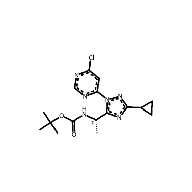 C[C@H](NC(=O)OC(C)(C)C)c1nc(C2CC2)nn1-c1cc(Cl)ncn1